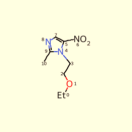 CCOCCn1c([N+](=O)[O-])cnc1C